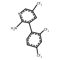 Nc1ncc(C(F)(F)F)cc1-c1ccc(C(F)(F)F)cc1C(F)(F)F